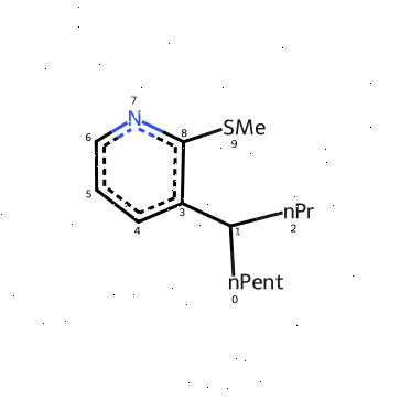 CCCCCC(CCC)c1cccnc1SC